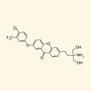 NC(CO)(CO)CCc1ccc2c(=O)c3cc(Oc4ccc(Cl)c(C(F)(F)F)c4)ccc3oc2c1